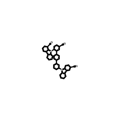 N#Cc1ccc(-n2c3ccccc3c3cccc(C#N)c32)c(-c2ccc(-c3cccc(-n4c5ccccc5c5cc(C#N)ccc54)c3)cc2)c1